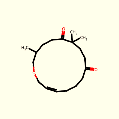 CC1CCC(=O)C(C)(C)CCC(=O)CCCC=CCOC1